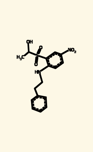 CC(O)S(=O)(=O)c1cc([N+](=O)[O-])ccc1NCCc1ccccc1